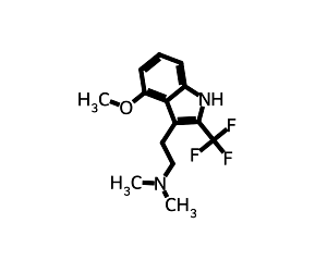 COc1cccc2[nH]c(C(F)(F)F)c(CCN(C)C)c12